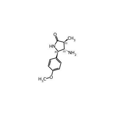 COc1ccc([C@H]2NC(=O)[C@@H](C)[C@@H]2N)cc1